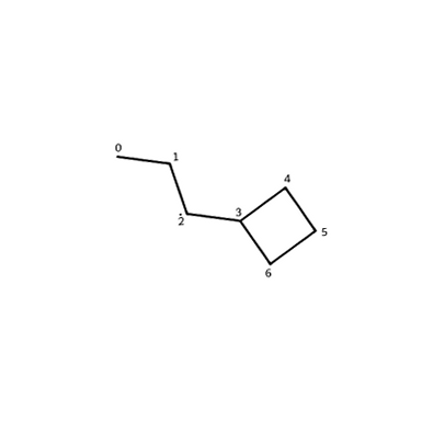 CC[CH]C1CCC1